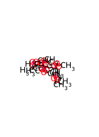 CCOP(=O)(OCC)C(C)CCC(C(CCCCC(CCCC(CC)P(=O)(OCC)OCC)P(=O)(OCC)OCC)P(=O)(OCC)OCC)P(=O)(OCC)OCC